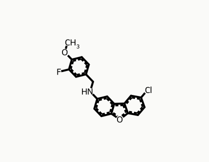 COc1ccc(CNc2ccc3oc4ccc(Cl)cc4c3c2)cc1F